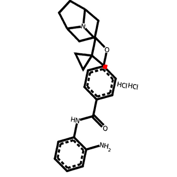 CC1(CN2C3CCC2CC(Oc2ccc(C(=O)Nc4ccccc4N)cc2)C3)CC1.Cl.Cl